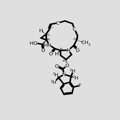 [2H]C1([2H])c2cccc(F)c2C([2H])([2H])N1C(=O)O[C@@H]1C[C@H]2C(=O)N[C@]3(C(=O)O)C[C@H]3/C=C\CCCCC[C@H](C)C(=O)N2C1